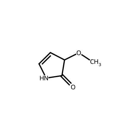 COC1C=CNC1=O